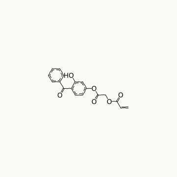 C=CC(=O)OCC(=O)Oc1ccc(C(=O)c2ccccc2)c(O)c1